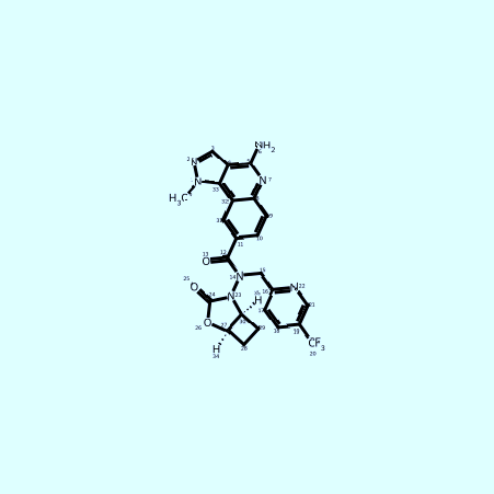 Cn1ncc2c(N)nc3ccc(C(=O)N(Cc4ccc(C(F)(F)F)cn4)N4C(=O)O[C@@H]5CC[C@@H]54)cc3c21